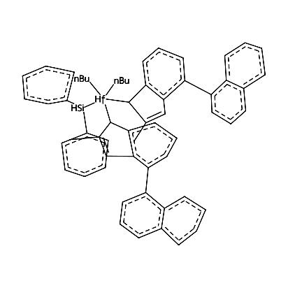 CCC[CH2][Hf]([CH2]CCC)([CH]1C(C)=Cc2c(-c3cccc4ccccc34)cccc21)([CH]1C(C)=Cc2c(-c3cccc4ccccc34)cccc21)[SiH](c1ccccc1)c1ccccc1